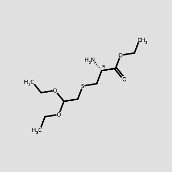 CCOC(=O)[C@@H](N)CSCC(OCC)OCC